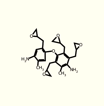 Cc1cc(Oc2c(CC3CO3)c(C)c(N)c(CC3CO3)c2CC2CO2)c(CC2CO2)cc1N